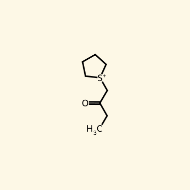 CCC(=O)C[S+]1CCCC1